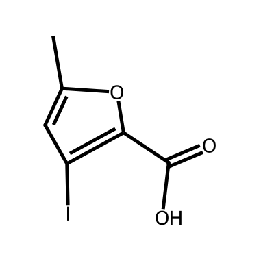 Cc1cc(I)c(C(=O)O)o1